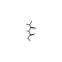 CCC(=O)NC(=O)C(C)C